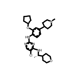 C[C@H](Nc1nc(Nc2ccc(C3CCN(C)CC3)cc2OC2CCCC2)ncc1Cl)C1CCOCC1